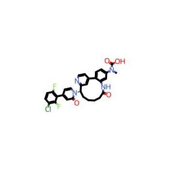 CN(C(=O)O)c1ccc2c(c1)NC(=O)CCCC[C@H](n1ccc(-c3c(F)ccc(Cl)c3F)cc1=O)c1cc-2ccn1